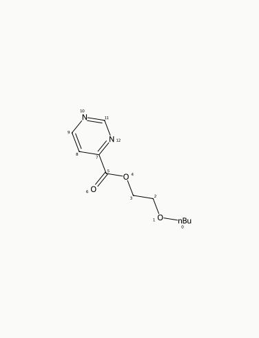 CCCCOCCOC(=O)c1ccncn1